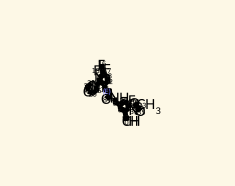 C#Cc1cc(CNC(=O)/C=C/c2ccc(C(F)(F)F)nc2N2CCOCC2)cc(F)c1NS(C)(=O)=O